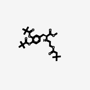 COC(=O)[C@H](Cc1ccc(OC(=O)C(C)(C)C)c(OC(=O)C(C)(C)C)c1)NCCOC(=O)CC(C)(C)C